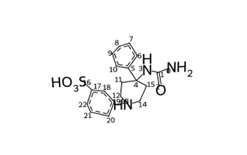 NC(=O)NC1(c2ccccc2)CCNCC1.O=S(=O)(O)c1ccccc1